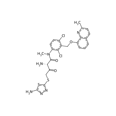 Cc1ccc2cccc(OCc3c(Cl)ccc(N(C)C(=O)[C@@H](N)C(=O)CSc4nnc(N)s4)c3Cl)c2n1